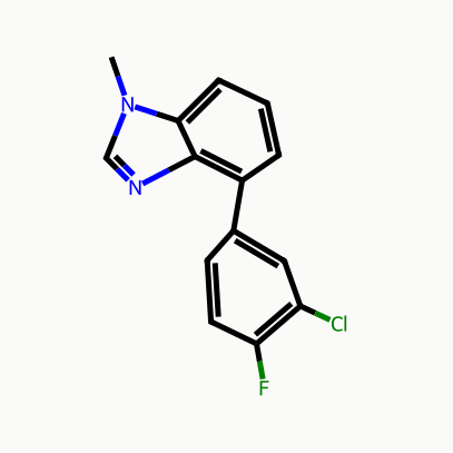 Cn1cnc2c(-c3ccc(F)c(Cl)c3)cccc21